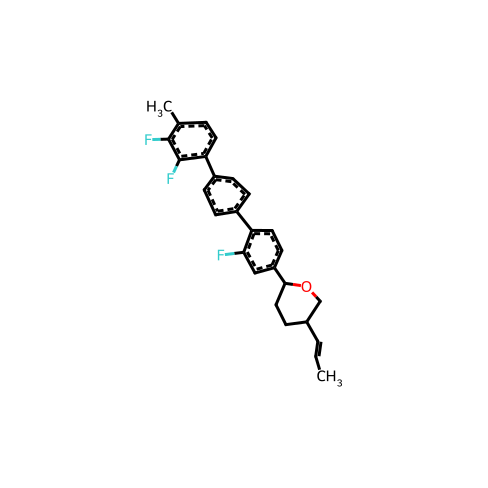 C/C=C/C1CCC(c2ccc(-c3ccc(-c4ccc(C)c(F)c4F)cc3)c(F)c2)OC1